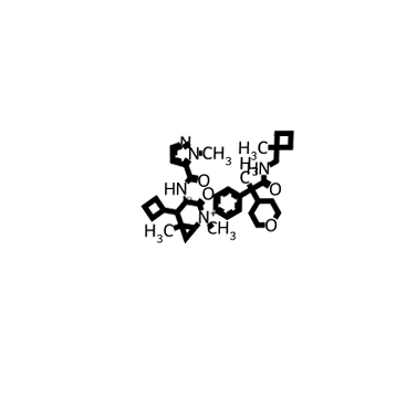 Cn1nccc1C(=O)N[C@@H]1C(=O)[N+](C)(c2ccc(C(C)(C(=O)NCC3(C)CCC3)C3CCOCC3)cc2)C2CC2(C)C1C1CCC1